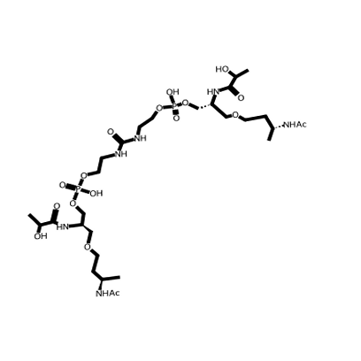 CC(=O)N[C@H](C)CCOC[C@H](COP(=O)(O)OCCNC(=O)NCCOP(=O)(O)OC[C@@H](COCC[C@@H](C)NC(C)=O)NC(=O)C(C)O)NC(=O)C(C)O